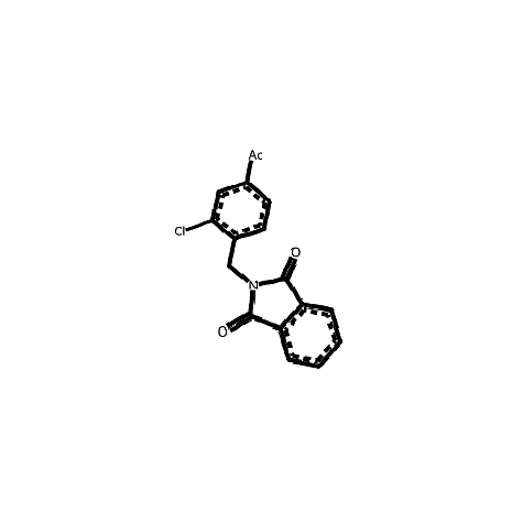 CC(=O)c1ccc(CN2C(=O)c3ccccc3C2=O)c(Cl)c1